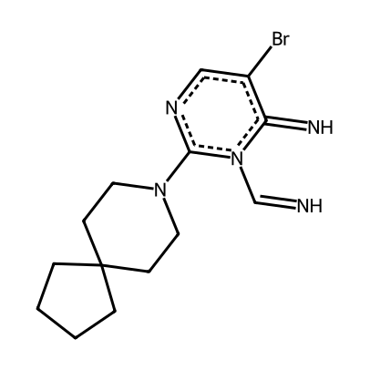 N=Cn1c(N2CCC3(CCCC3)CC2)ncc(Br)c1=N